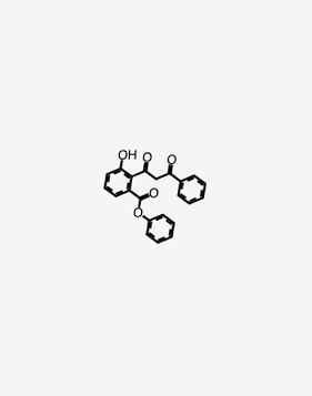 O=C(CC(=O)c1c(O)cccc1C(=O)Oc1ccccc1)c1ccccc1